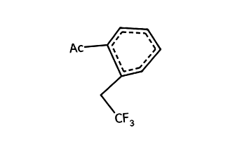 CC(=O)c1ccccc1CC(F)(F)F